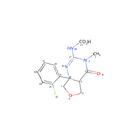 CN1C(=O)C2COCC2(c2ccccc2F)N=C1NC(=O)O